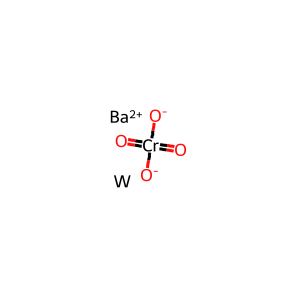 [Ba+2].[O]=[Cr](=[O])([O-])[O-].[W]